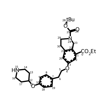 CCOC(=O)c1cc(OCCc2ccc(OC3CCNCC3)cc2)cc2c1CN(C(=O)OC(C)(C)C)CC2